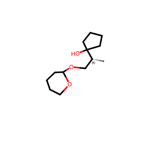 C[C@H](COC1CCCCO1)C1(O)CCCC1